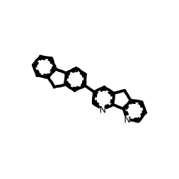 c1ccc2c(c1)Cc1cc(-c3cnc4c(c3)Cc3cccnc3-4)ccc1-2